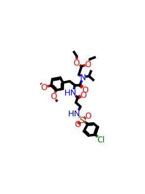 CCOC(CN(C(=O)C(Cc1ccc(OC)c(OC)c1)NC(=O)CCNS(=O)(=O)c1ccc(Cl)cc1)C(C)C)OCC